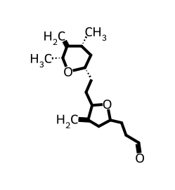 C=C1CC(CCC=O)OC1CC[C@H]1C[C@@H](C)C(=C)[C@@H](C)O1